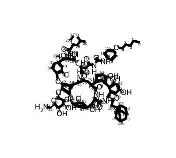 CCCCCOc1ccc(NC(=O)NC(=O)C[C@@H]2CC(=O)[C@H](NC(=O)[C@H](CC)CC(C)C)[C@H](O)c3ccc(c(Cl)c3)Oc3cc4cc(c3O[C@@H]3O[C@H](CN)[C@@H](O)[C@H](O)[C@H]3O)Oc3ccc(cc3Cl)[C@@H](O)[C@@H]3NC(=O)[C@H](CC(=O)C4NC2=O)c2ccc(O)c(c2)-c2c(O)cc(O)cc2[C@@H](C(=O)CC2C4CC5CC(C4)CC2C5)NC3=O)cc1